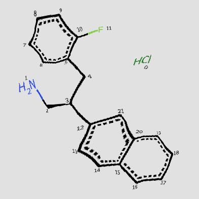 Cl.NC[C@@H](Cc1ccccc1F)c1ccc2ccccc2c1